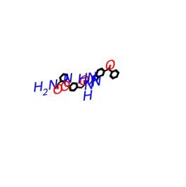 NC(=O)c1cccnc1Oc1ccc(CC(=O)Nc2nc3cc(C(=O)c4ccccc4)ccc3[nH]2)cc1